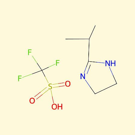 CC(C)C1=NCCN1.O=S(=O)(O)C(F)(F)F